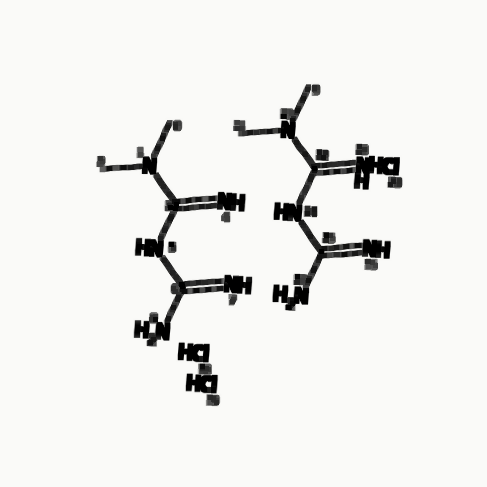 CN(C)C(=N)NC(=N)N.CN(C)C(=N)NC(=N)N.Cl.Cl.Cl